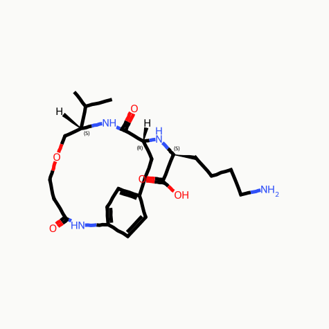 CC(C)[C@H]1COCCC(=O)Nc2ccc(cc2)C[C@@H](N[C@@H](CCCCN)C(=O)O)C(=O)N1